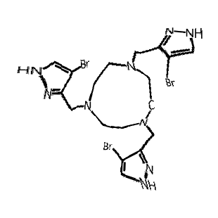 Brc1c[nH]nc1CN1CCN(Cc2n[nH]cc2Br)CCN(Cc2n[nH]cc2Br)CC1